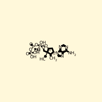 C#C[C@]1(COP(=O)(O)OP(=O)(O)OP(=O)(O)O)C(=C)[C@@H](n2cnc3c(N)ncnc32)C[C@@H]1O